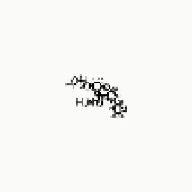 CCOC(C)(C)COc1ccc2c(c1)[C@]1(COC(N)=N1)c1cc(-c3cccnc3)ccc1O2